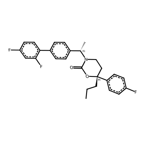 CCC[C@]1(c2ccc(F)cc2)CCN([C@@H](C)c2ccc(-c3ccc(F)cc3F)cc2)C(=O)O1